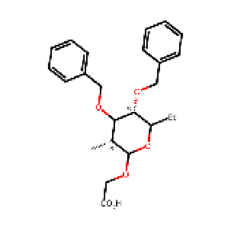 CCC1OC(OCC(=O)O)[C@H](C)C(OCc2ccccc2)[C@@H]1OCc1ccccc1